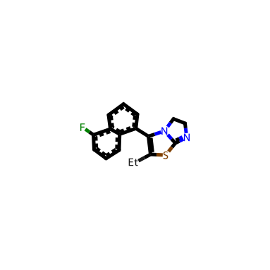 CCC1=C(c2cccc3c(F)cccc23)N2CCN=C2S1